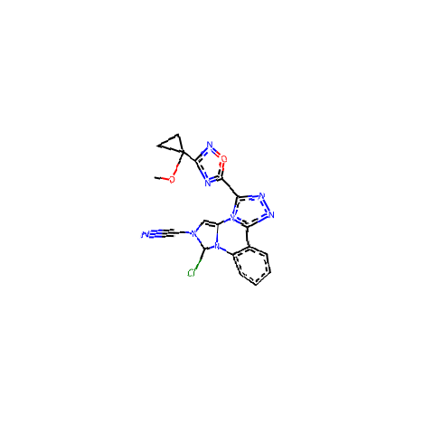 COC1(c2noc(-c3nnc4n3C3=CN(C#N)C(Cl)N3c3ccccc3-4)n2)CC1